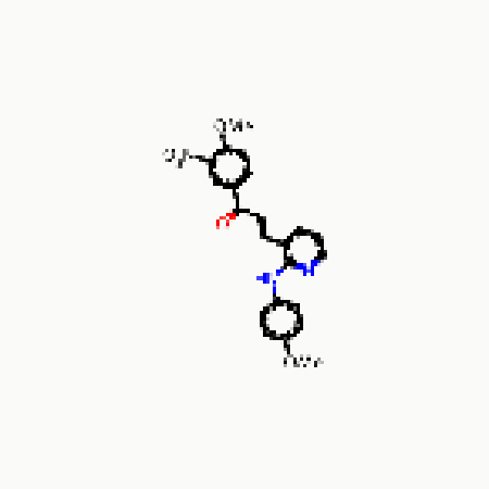 COc1ccc(Nc2ncccc2C=CC(=O)c2ccc(OC)c([N+](=O)[O-])c2)cc1